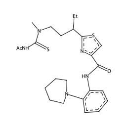 CCC(CCN(C)C(=S)NC(C)=O)c1nc(C(=O)Nc2ccccc2N2CCCCC2)cs1